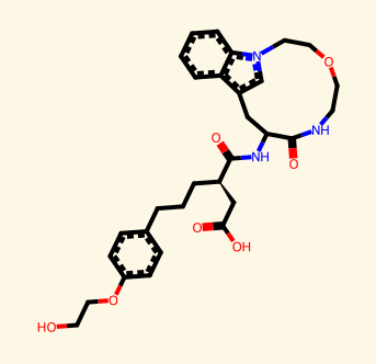 O=C(O)C[C@@H](CCCc1ccc(OCCO)cc1)C(=O)NC1Cc2cn(c3ccccc23)CCOCCNC1=O